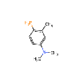 Cc1cc(N(C)C)ccc1P